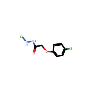 O=C(COc1ccc(Cl)cc1)NNCl